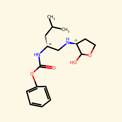 CC(C)C[C@H](CN[C@H]1CCOC1O)NC(=O)Oc1ccccc1